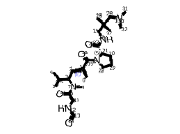 C/C(=C\C(C(C)C)N(C)C(=O)CNC=O)C(=O)N1CCC[C@H]1C(=O)NCC(C)(C)CN(C)C